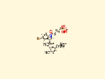 COc1ccc(C#N)cc1/C=C(\C#N)c1cn(C(=O)CCCCP(=O)([O-])O)c2ccc(Br)cc12.[Na+]